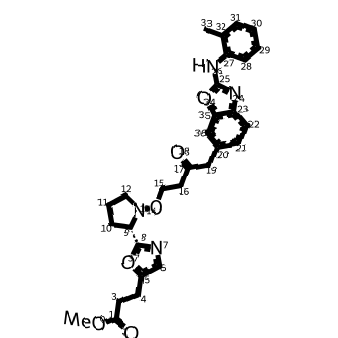 COC(=O)CCc1cnc([C@@H]2CCCN2OCCC(=O)Cc2ccc3nc(Nc4ccccc4C)oc3c2)o1